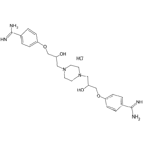 Cl.N=C(N)c1ccc(OCC(O)CN2CCN(CC(O)COc3ccc(C(=N)N)cc3)CC2)cc1